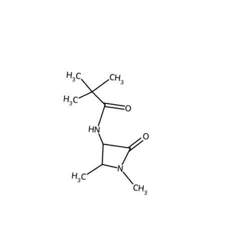 CC1C(NC(=O)C(C)(C)C)C(=O)N1C